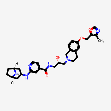 CC(=O)N1[C@@H]2CC[C@H]1CC(Nc1cc(C(=O)NC[C@H](O)CN3CCc4cc(OCc5ocnc5C)ccc4C3)ccn1)C2